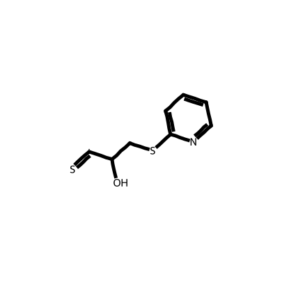 OC([C]=S)CSc1ccccn1